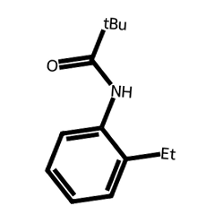 CCc1ccccc1NC(=O)C(C)(C)C